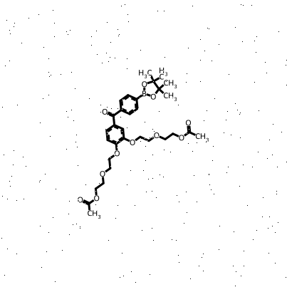 CC(=O)OCCOCCOc1ccc(C(=O)c2ccc(B3OC(C)(C)C(C)(C)O3)cc2)cc1OCCOCCOC(C)=O